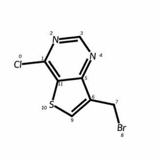 Clc1ncnc2c(CBr)csc12